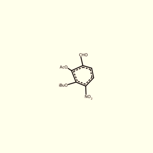 CC(=O)Oc1c(C=O)ccc([N+](=O)[O-])c1OCC(C)C